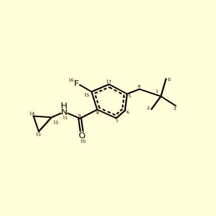 CC(C)(C)Cc1ccc(C(=O)NC2CC2)c(F)c1